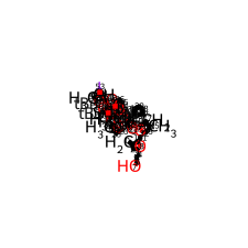 C=C1C[C@H](CCCO)O[C@H]1CC[C@H]1C[C@@H](C)C(=C)[C@@H](C[C@@H]2O[C@H](C[C@H]3CCC(C)(C)O3)[C@H](C)[C@H]2C(c2ccccc2)C(O)C[C@H]2CCC3O[C@@H]([C@H](/C=C/I)O[Si](C)(C)C(C)(C)C)[C@@H](O[Si](C)(C)C(C)(C)C)[C@@H](O[Si](C)(C)C(C)(C)C)[C@H]3O2)O1